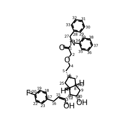 O=C(COCC[C@@H]1C[C@@H]2C[C@H](O)[C@H](C(O)=CCc3ccc(F)cc3)[C@@H]2C1)N(Cc1ccccc1)c1ccccc1